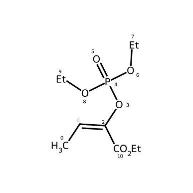 CC=C(OP(=O)(OCC)OCC)C(=O)OCC